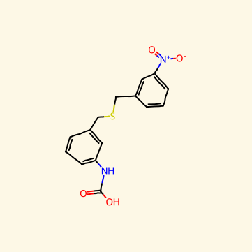 O=C(O)Nc1cccc(CSCc2cccc([N+](=O)[O-])c2)c1